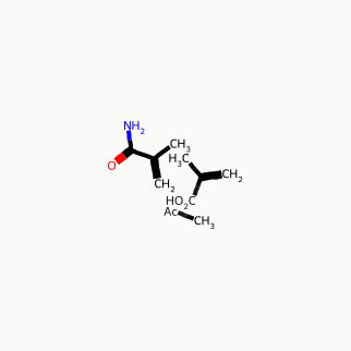 C=C(C)C(=O)O.C=C(C)C(N)=O.CC(C)=O